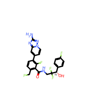 Nc1nc2cc(-c3ccc(CF)c(C(=O)NCC(F)(F)[C@@H](O)c4ccc(F)cc4)c3F)ccn2n1